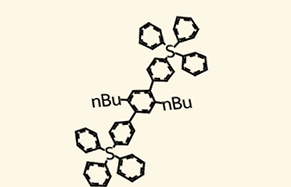 CCCCc1cc(-c2ccc(S(c3ccccc3)(c3ccccc3)c3ccccc3)cc2)c(CCCC)cc1-c1ccc(S(c2ccccc2)(c2ccccc2)c2ccccc2)cc1